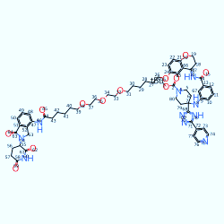 CC(C)(C)OC(=O)N1CCC(Nc2cccc(C(=O)N[C@@H]3CCOc4ccc(OCCCCCCOCCOCCOCCCCCC(=O)Nc5cccc6c5CN(C5CCC(=O)NC5=O)C6=O)cc43)c2)(c2nnc(-c3ccncc3)[nH]2)CC1